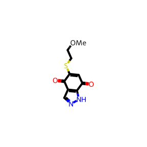 COCCSC1=CC(=O)c2[nH]ncc2C1=O